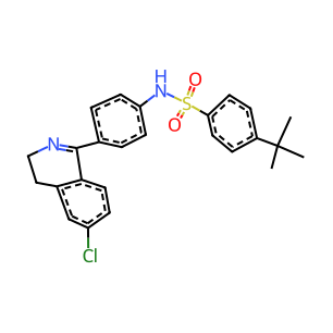 CC(C)(C)c1ccc(S(=O)(=O)Nc2ccc(C3=NCCc4cc(Cl)ccc43)cc2)cc1